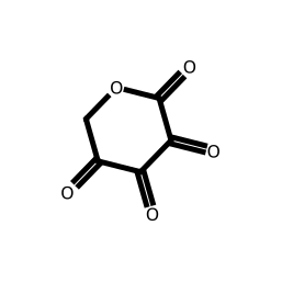 O=C1COC(=O)C(=O)C1=O